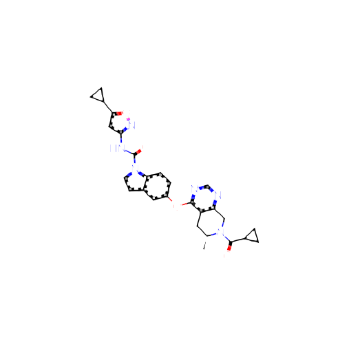 C[C@H]1Cc2c(ncnc2Oc2ccc3c(ccn3C(=O)Nc3cc(C4CC4)on3)c2)CN1C(=O)C1CC1